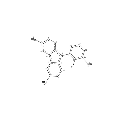 Cc1c(-n2c3ccc(C(C)(C)C)cc3c3cc(C(C)(C)C)ccc32)cccc1C(C)(C)C